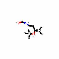 C[SiH](C)C(CCN=C=O)O[Si](C)(C)C